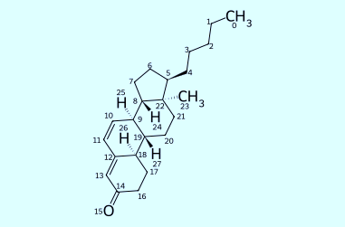 CCCCC[C@@H]1CC[C@H]2[C@@H]3C=CC4=CC(=O)CC[C@@H]4[C@H]3CC[C@]12C